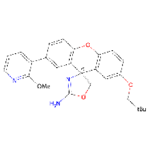 COc1ncccc1-c1ccc2c(c1)[C@@]1(COC(N)=N1)c1cc(OCC(C)(C)C)ccc1O2